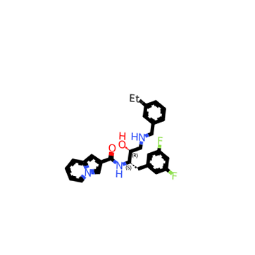 CCc1cccc(CNC[C@@H](O)[C@H](Cc2cc(F)cc(F)c2)NC(=O)c2cc3ccccn3c2)c1